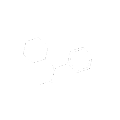 CSN(c1ccccc1)C1CCCCC1